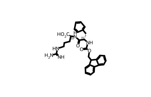 N=C(N)NCCC[C@H](NC(=O)[C@H](Cc1ccccc1)NC(=O)OCC1c2ccccc2-c2ccccc21)C(=O)O